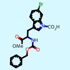 COC(=O)C(Cc1cn(C(=O)O)c2cc(Br)ccc12)NC(=O)OCc1ccccc1